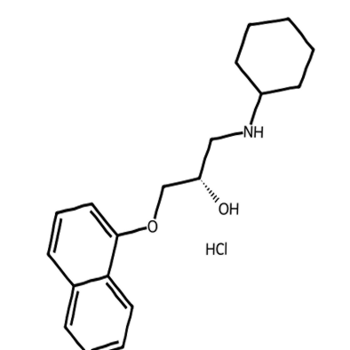 Cl.O[C@@H](CNC1CCCCC1)COc1cccc2ccccc12